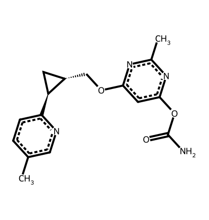 Cc1ccc([C@H]2C[C@@H]2COc2cc(OC(N)=O)nc(C)n2)nc1